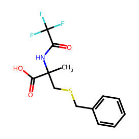 CC(CSCc1ccccc1)(NC(=O)C(F)(F)F)C(=O)O